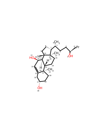 CC(C)[C@@H](O)CC[C@@H](C)[C@H]1CC[C@H]2[C@@H]3[C@H](O)C=C4C[C@@H](O)CC[C@]4(C)[C@H]3CC[C@]12C